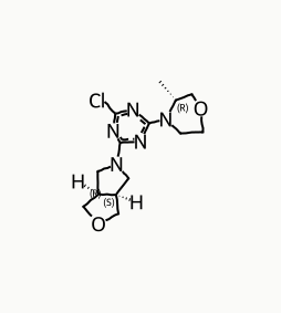 C[C@@H]1COCCN1c1nc(Cl)nc(N2C[C@H]3COC[C@H]3C2)n1